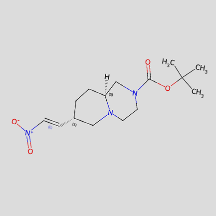 CC(C)(C)OC(=O)N1CCN2C[C@H](/C=C/[N+](=O)[O-])CC[C@H]2C1